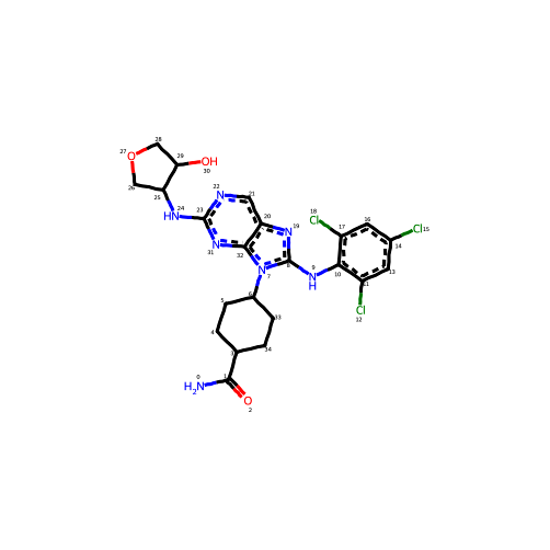 NC(=O)C1CCC(n2c(Nc3c(Cl)cc(Cl)cc3Cl)nc3cnc(NC4COCC4O)nc32)CC1